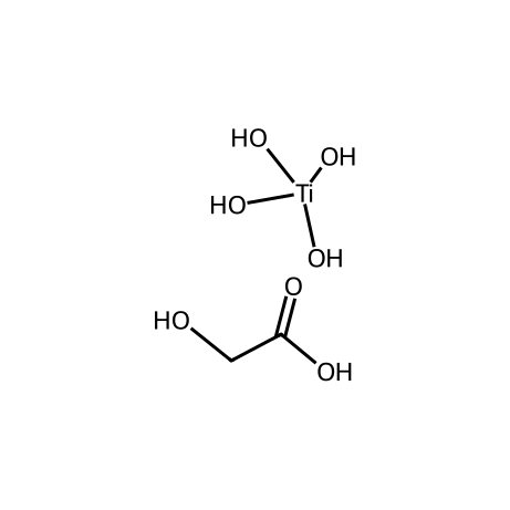 O=C(O)CO.[OH][Ti]([OH])([OH])[OH]